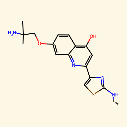 CC(C)Nc1nc(-c2cc(O)c3ccc(OCC(C)(C)N)cc3n2)cs1